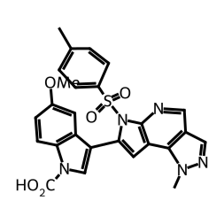 COc1ccc2c(c1)c(-c1cc3c4c(cnc3n1S(=O)(=O)c1ccc(C)cc1)cnn4C)cn2C(=O)O